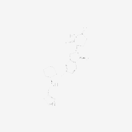 O=C1CCC(N2Cc3cc(C[C@H]4CCCC[C@@H]4NCc4cncs4)ccc3C2=O)C(=O)N1